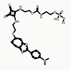 CCOP(=O)(O)OCCNC(=O)OCCNc1c(NCCOc2ccc3nc(-c4ccc(N(C)C)cc4)oc3c2)c(=O)c1=O